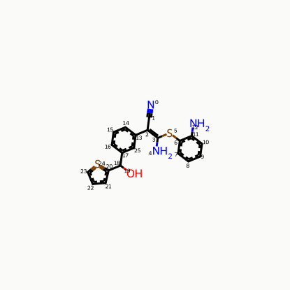 N#C/C(=C(/N)Sc1ccccc1N)c1cccc(C(O)c2cccs2)c1